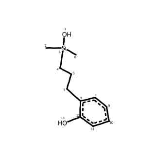 C[Si](C)(O)CCCc1ccccc1O